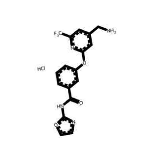 Cl.NCc1cc(Oc2cccc(C(=O)Nc3ncco3)c2)nc(C(F)(F)F)c1